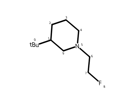 CC(C)(C)C1CCCN(CCF)C1